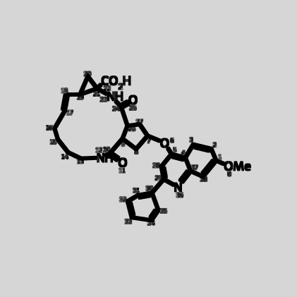 COc1ccc2c(OC3CC4C(=O)NCCCC/C=C/C5CC5(C(=O)O)NC(=O)C4C3)cc(-c3ccccc3)nc2c1